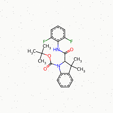 CC(C)(C)OC(=O)N1c2ccccc2C(C)(C)C1C(=O)Nc1c(F)cccc1F